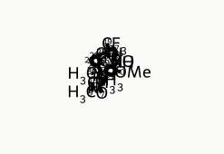 COc1cc(C#CC(=O)N(C)C)ccc1Nc1ncc(C(F)(F)F)c(Oc2cccc(CN(C)C)c2C=O)n1